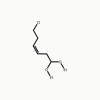 CCOC(C/C=C\CCCl)OCC